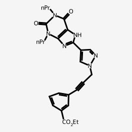 CCCn1c(=O)c2[nH]c(-c3cnn(CC#Cc4cccc(C(=O)OCC)c4)c3)nc2n(CCC)c1=O